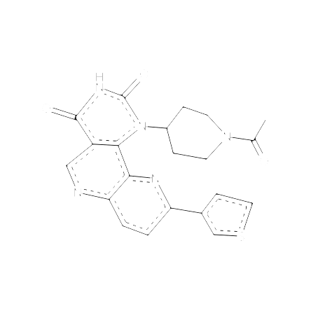 CC(=O)N1CCC(n2c(=O)[nH]c(=O)c3cnc4ccc(-c5ccsc5)nc4c32)CC1